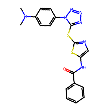 CN(C)c1ccc(-n2nnnc2Sc2ncc(NC(=O)c3ccccc3)s2)cc1